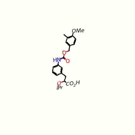 COc1ccc(COC(=O)Nc2cccc(CC(OC(C)C)C(=O)O)c2)cc1C